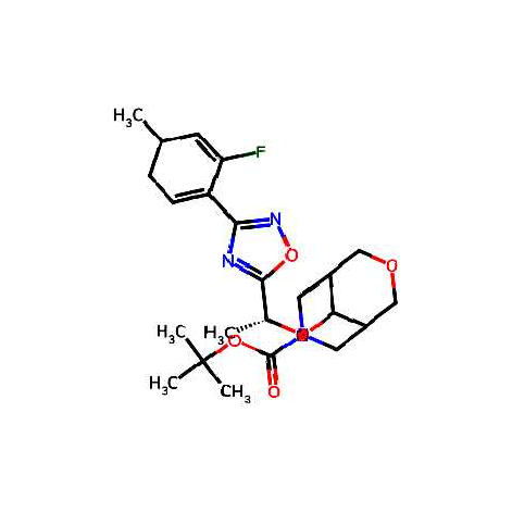 CC1C=C(F)C(c2noc([C@@H](C)OC3C4COCC3CN(C(=O)OC(C)(C)C)C4)n2)=CC1